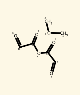 COC.O=CC(=O)OC(=O)C=O